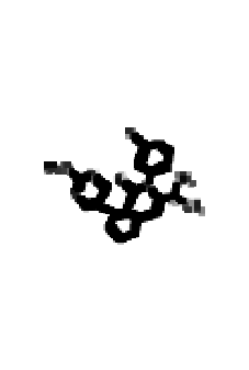 COc1ncc(-c2cccc3cc([C@H](C)N)n(-c4cccc(F)c4)c(=O)c23)cn1